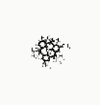 Cc1cc2c3c(c1)C(C)(C)c1cc(C)cc4c1N3c1c(cccc1C4(C)C)C2(C)C